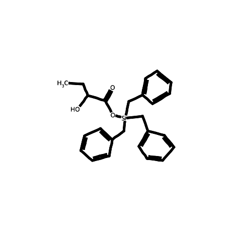 CCC(O)C(=O)O[Si](Cc1ccccc1)(Cc1ccccc1)Cc1ccccc1